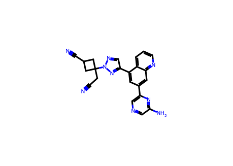 N#CCC1(n2ncc(-c3cc(-c4cncc(N)n4)cc4ncccc34)n2)CC(C#N)C1